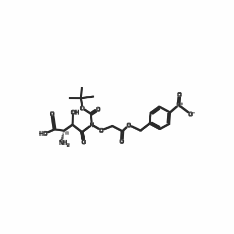 CC(C)(C)OC(=O)N(OCC(=O)OCc1ccc([N+](=O)[O-])cc1)C(=O)C(O)[C@H](N)C(=O)O